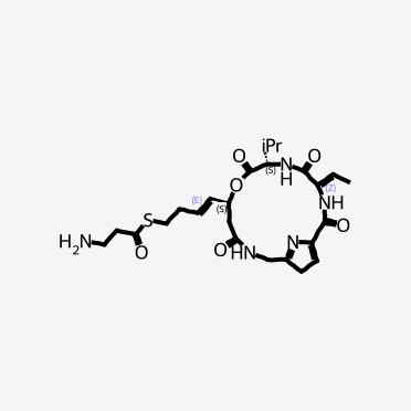 C/C=C1\NC(=O)C2=CCC(=N2)CNC(=O)C[C@@H](/C=C/CCSC(=O)CCN)OC(=O)[C@H](C(C)C)NC1=O